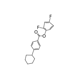 O=C(Oc1ccc(F)cc1F)c1ccc(C2CCCCC2)cc1